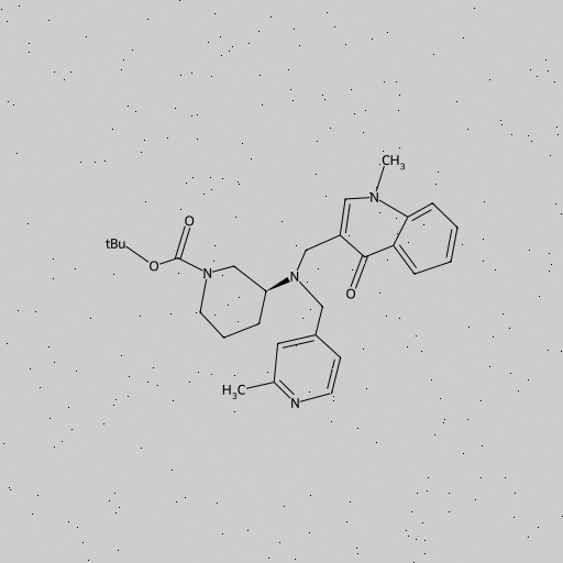 Cc1cc(CN(Cc2cn(C)c3ccccc3c2=O)[C@H]2CCCN(C(=O)OC(C)(C)C)C2)ccn1